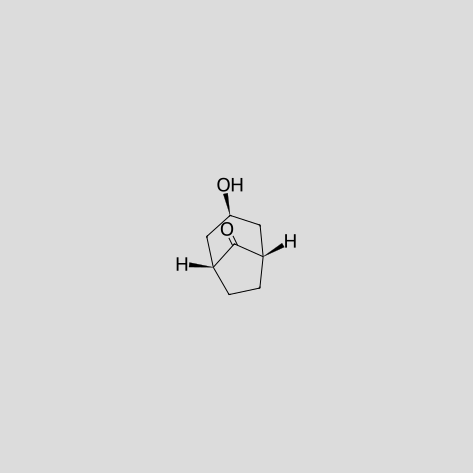 O=C1[C@@H]2CC[C@H]1C[C@H](O)C2